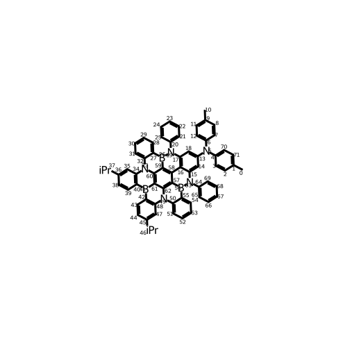 Cc1ccc(N(c2ccc(C)cc2)c2cc3c4c(c2)N(c2ccccc2)B2c5ccccc5N5c6cc(C(C)C)ccc6B6c7ccc(C(C)C)cc7N7c8ccccc8B(c8c-4c2c5c6c87)N3c2ccccc2)cc1